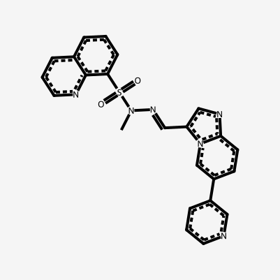 CN(N=Cc1cnc2ccc(-c3cccnc3)cn12)S(=O)(=O)c1cccc2cccnc12